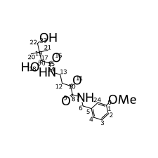 COc1cccc(CNC(=O)C(=O)CCNC(=O)[C@H](O)C(C)(C)CO)c1